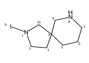 IN1CCC2(CCCNC2)C1